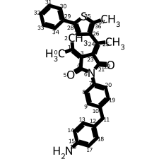 CC(C)=C1C(=O)N(c2ccc(Cc3ccc(N)cc3)cc2)C(=O)/C1=C(\C)c1cc(-c2ccccc2)sc1C